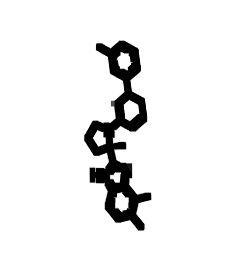 Cc1cccc(C2[C]=C(N3CCC[C@@]3(C)c3nc4c(C)c(C)ccc4[nH]3)C=CC2)c1